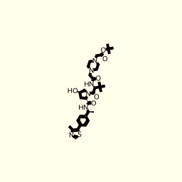 Cc1ncsc1-c1ccc([C@H](C)NC(=O)[C@@H]2C[C@@H](O)CN2C(=O)[C@@H](NC(=O)CN2CCN(CC(=O)OC(C)(C)C)CC2)C(C)(C)C)cc1